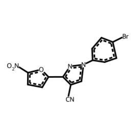 N#Cc1cn(-c2ccc(Br)cc2)nc1-c1ccc([N+](=O)[O-])o1